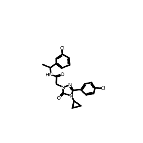 CC(NC(=O)Cn1nc(-c2ccc(Cl)cc2)n(C2CC2)c1=O)c1cccc(Cl)c1